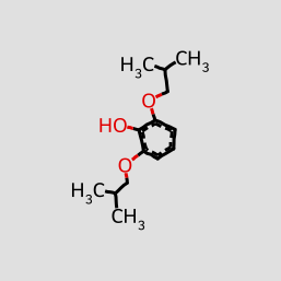 CC(C)COc1cccc(OCC(C)C)c1O